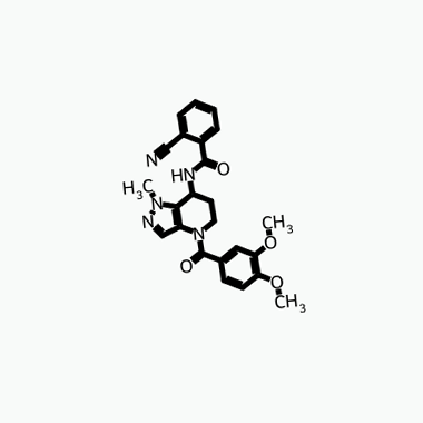 COc1ccc(C(=O)N2CCC(NC(=O)c3ccccc3C#N)c3c2cnn3C)cc1OC